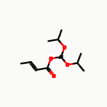 CC=CC(=O)[O][Al]([O]C(C)C)[O]C(C)C